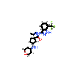 CC(C)[C@]1(C(=O)Nc2n[nH]c3c(C(F)(F)F)cccc23)CC[C@@H](NC2CCOCC2)C1